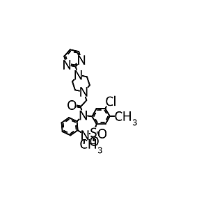 Cc1cc2c(cc1Cl)N(C(=O)CN1CCN(c3ncccn3)CC1)c1ccccc1N(C)S2(=O)=O